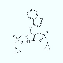 O=S(=O)(Cc1n[nH]c(CS(=O)(=O)CC2CC2)c1Oc1ccnc2ccccc12)CC1CC1